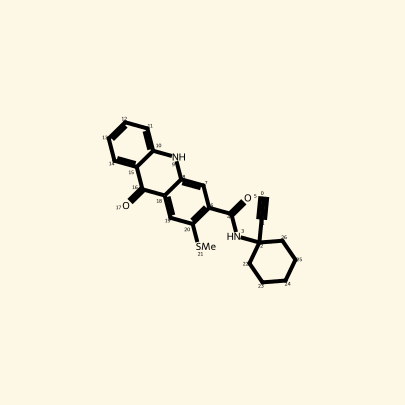 C#CC1(NC(=O)c2cc3[nH]c4ccccc4c(=O)c3cc2SC)CCCCC1